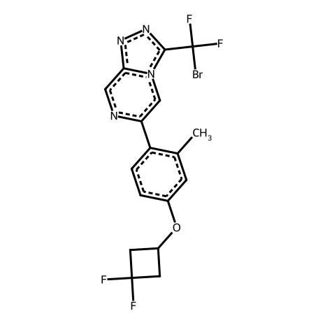 Cc1cc(OC2CC(F)(F)C2)ccc1-c1cn2c(C(F)(F)Br)nnc2cn1